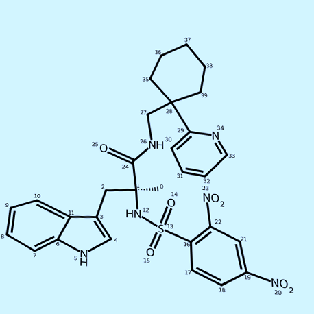 C[C@@](Cc1c[nH]c2ccccc12)(NS(=O)(=O)c1ccc([N+](=O)[O-])cc1[N+](=O)[O-])C(=O)NCC1(c2ccccn2)CCCCC1